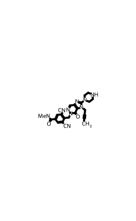 CC#CCn1c(N2CCNCC2)nc2cnn(Cc3c(C#N)cc(C(=O)NC)cc3C#N)c(=O)c21